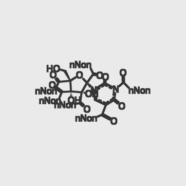 CCCCCCCCCC(=O)c1cn([C@]2(C(=O)CCCCCCCCC)O[C@@](CO)(C(=O)CCCCCCCCC)[C@](O)(C(=O)CCCCCCCCC)[C@]2(O)C(=O)CCCCCCCCC)c(=O)n(C(=O)CCCCCCCCC)c1=O